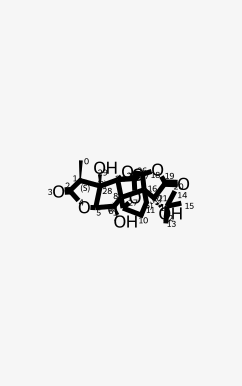 C[C@@H]1C(=O)OC2[C@H](O)C34C5C[C@@H](C(C)(C)C)C36C(OC(=O)[C@@H]6O)OC4(C(=O)O5)[C@]21O